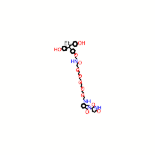 CCC(=C(c1ccc(O)cc1)c1ccc(OCCNC(=O)CCOCCOCCOCCOCCOCCNc2cccc3c2CN(C2CCC(=O)NC2=O)C3=O)cc1)c1ccc(O)cc1